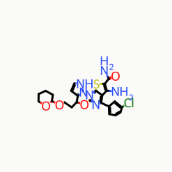 NC(=O)c1sc2nc(OC(CCOC3CCCCO3)c3cc[nH]n3)nc(-c3cccc(Cl)c3)c2c1N